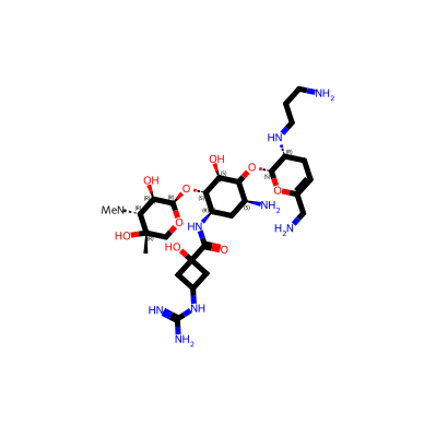 CN[C@@H]1[C@@H](O)[C@@H](O[C@H]2[C@H](NC(=O)C3(O)CC(NC(=N)N)C3)C[C@H](N)C(O[C@H]3OC(CN)=CC[C@H]3NCCCN)[C@@H]2O)OC[C@]1(C)O